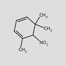 CC1=CC=CC(C)(C)C1[N+](=O)[O-]